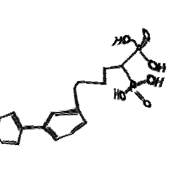 O=P(O)(O)C(CCCc1cccc(-c2ccccc2)c1)P(=O)(O)O